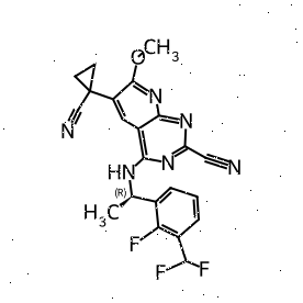 COc1nc2nc(C#N)nc(N[C@H](C)c3cccc(C(F)F)c3F)c2cc1C1(C#N)CC1